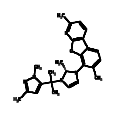 Cc1ccc2c(n1)oc1c(N3C=CN(C(C)(C)c4cc(C)nn4C)[C@@H]3C)c(C)ccc12